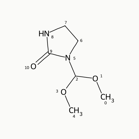 COC(OC)N1CCNC1=O